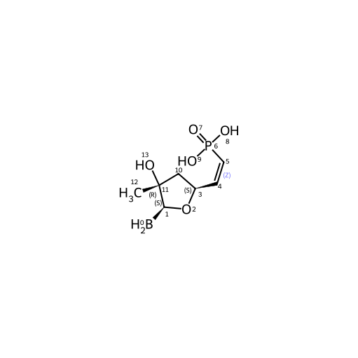 B[C@@H]1O[C@H](/C=C\P(=O)(O)O)C[C@@]1(C)O